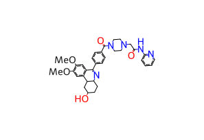 COc1cc2c(cc1OC)C1CC(O)CCC1N=C2c1ccc(C(=O)N2CCN(CC(=O)Nc3ccccn3)CC2)cc1